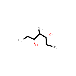 CC[C@@H](O)C(C)[C@H](O)CC